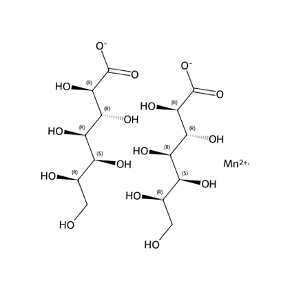 O=C([O-])[C@H](O)[C@H](O)[C@H](O)[C@@H](O)[C@H](O)CO.O=C([O-])[C@H](O)[C@H](O)[C@H](O)[C@@H](O)[C@H](O)CO.[Mn+2]